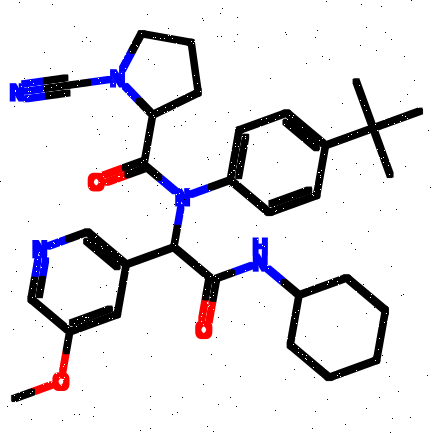 COc1cncc(C(C(=O)NC2CCCCC2)N(C(=O)C2CCCN2C#N)c2ccc(C(C)(C)C)cc2)c1